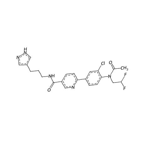 CC(=O)N(CC(F)F)c1ccc(-c2ccc(C(=O)NCCCc3cn[nH]c3)cn2)cc1Cl